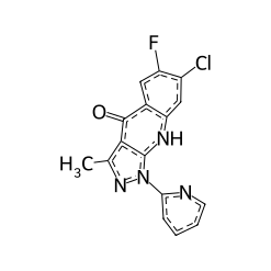 Cc1nn(-c2ccccn2)c2[nH]c3cc(Cl)c(F)cc3c(=O)c12